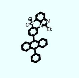 CCc1nc2cccc3c2n1-c1cc(-c2c4ccccc4c(-c4ccccc4)c4ccccc24)ccc1S3(=O)=O